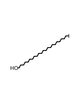 OCCCCCCCCCCCCCCCCCCCCCCI